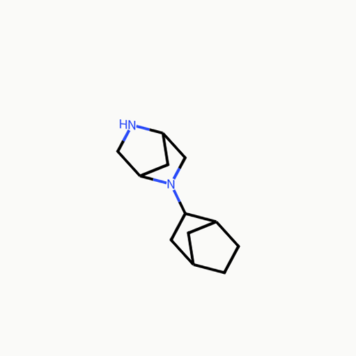 C1CC2CC1CC2N1CC2CC1CN2